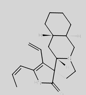 C=CC1=C(/C=C\C)NC(=O)[C@@]12CCN1C[C@@H]3CCCC[C@H]3C[C@H]12